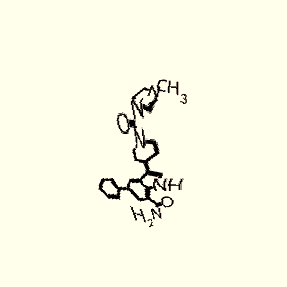 CN1CCN(C(=O)N2CCC(c3c[nH]c4c(C(N)=O)cc(-c5ccccc5)cc34)CC2)CC1